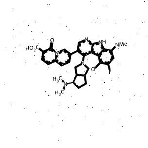 CNc1cc(F)c(Cl)c2c1[nH]c1ncc(-c3ccc4ccc(C(=O)O)c(=O)n4c3)c(N3CC4CC[C@@H](N(C)C)C4C3)c12